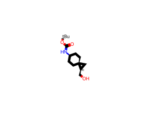 CC(C)(C)OC(=O)N[C@H]1CC[C@@]2(CC1)C[C@H]2CO